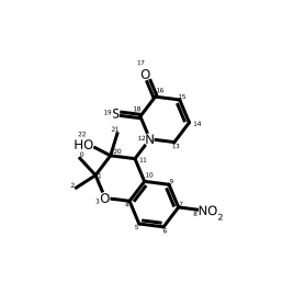 CC1(C)Oc2ccc([N+](=O)[O-])cc2C(N2CC=CC(=O)C2=S)C1(C)O